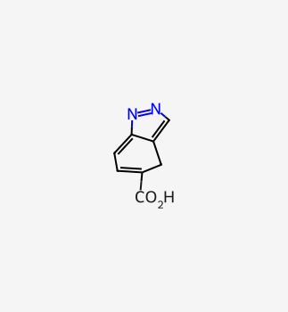 O=C(O)C1=CC=C2N=NC=C2C1